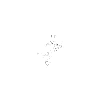 CC(C)N(CCCN(CCc1ccc(F)cc1)C(=O)OC(C)(C)C)CC1C[C@@H](n2cc(-c3ccccc3)c3c(N)nc(Cl)nc32)[C@@H]2OC(C)(C)O[C@H]12